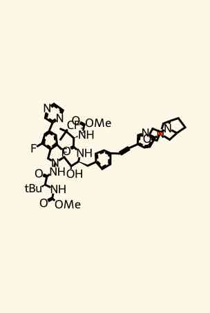 COC(=O)N[C@H](C(=O)NN(Cc1c(F)cc(-c2cnccn2)cc1F)C[C@H](O)[C@H](Cc1ccc(C#Cc2ccc(N3CC4CCC(C3)N4C3COC3)nc2)cc1)NC(=O)[C@@H](NC(=O)OC)C(C)(C)C(F)(F)F)C(C)(C)C